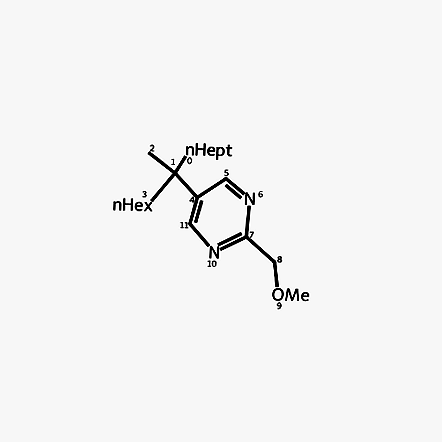 CCCCCCCC(C)(CCCCCC)c1cnc(COC)nc1